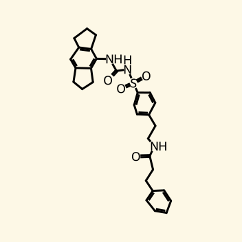 O=C(CCc1ccccc1)NCCc1ccc(S(=O)(=O)NC(=O)Nc2c3c(cc4c2CCC4)CCC3)cc1